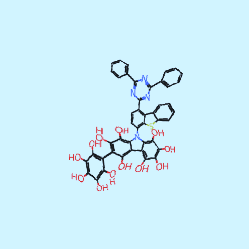 Oc1c(O)c(O)c(-c2c(O)c(O)c3c(c2O)c2c(O)c(O)c(O)c(O)c2n3-c2ccc(-c3nc(-c4ccccc4)nc(-c4ccccc4)n3)c3c2sc2ccccc23)c(O)c1O